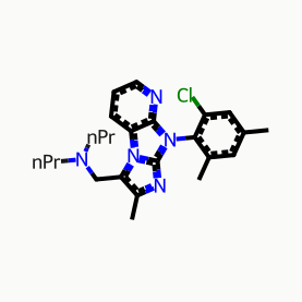 CCCN(CCC)Cc1c(C)nc2n(-c3c(C)cc(C)cc3Cl)c3ncccc3n12